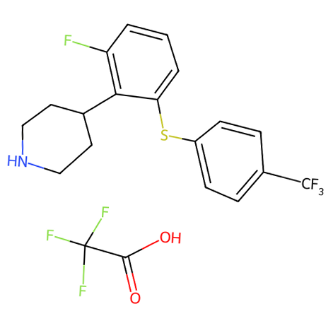 Fc1cccc(Sc2ccc(C(F)(F)F)cc2)c1C1CCNCC1.O=C(O)C(F)(F)F